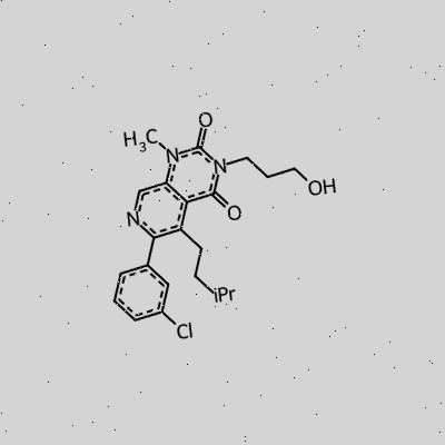 CC(C)CCc1c(-c2cccc(Cl)c2)ncc2c1c(=O)n(CCCO)c(=O)n2C